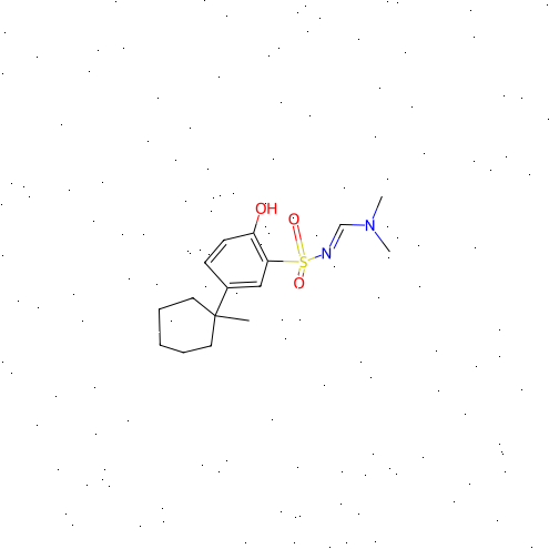 CN(C)C=NS(=O)(=O)c1cc(C2(C)CCCCC2)ccc1O